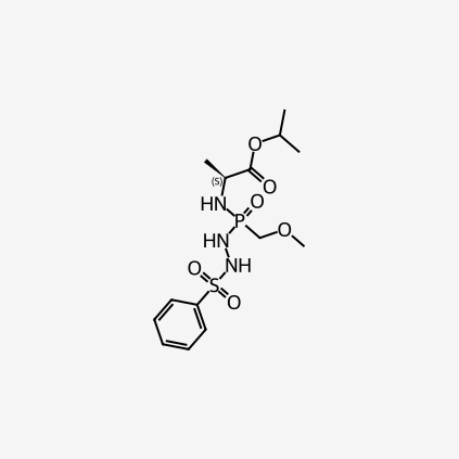 COCP(=O)(NNS(=O)(=O)c1ccccc1)N[C@@H](C)C(=O)OC(C)C